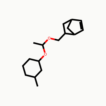 CC1CCCC(OC(C)OCC2CC3C=CC2C3)C1